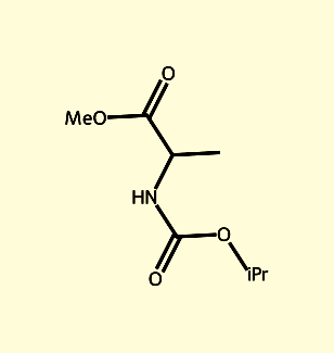 COC(=O)C(C)NC(=O)OC(C)C